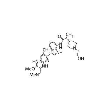 CN/C=C(/Nc1ncc(C)c(-c2c[nH]c3c(NC(=O)C(C)N4CCN(CCO)CC4)cccc23)n1)C(=N)OC